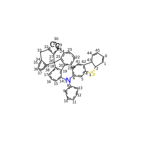 C1=CC2Sc3cc(N(c4ccccc4)c4cccc5c4-c4ccccc4C54c5ccccc5Cc5ccccc54)ccc3C2C=C1